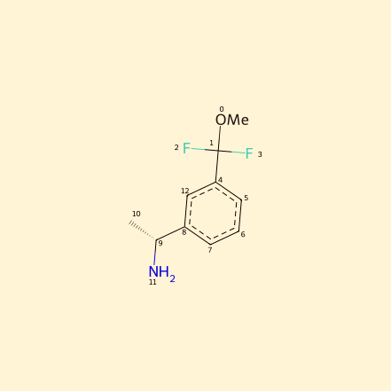 COC(F)(F)c1cccc([C@@H](C)N)c1